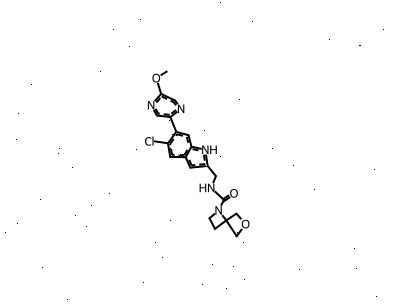 COc1cnc(-c2cc3[nH]c(CNC(=O)N4CCC45COC5)cc3cc2Cl)cn1